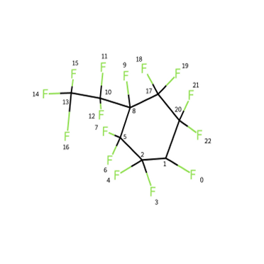 FC1C(F)(F)C(F)(F)C(F)(C(F)(F)C(F)(F)F)C(F)(F)C1(F)F